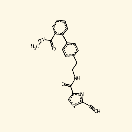 C#Cc1nc(C(=O)NCCc2ccc(-c3ccccc3C(=O)NC)cc2)cs1